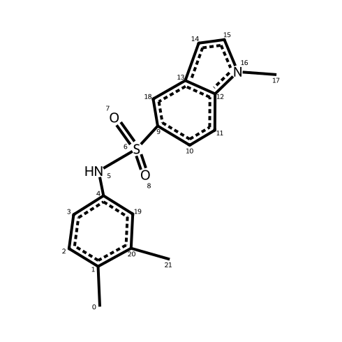 Cc1ccc(NS(=O)(=O)c2ccc3c(ccn3C)c2)cc1C